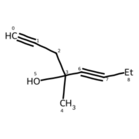 C#CCC(C)(O)C#CCC